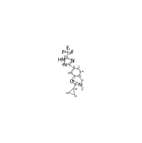 CN(Cc1ccc(-c2n[nH]c(C(F)(F)F)n2)cc1)C(=O)C1CC1